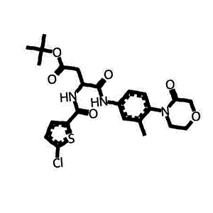 Cc1cc(NC(=O)C(CC(=O)OC(C)(C)C)NC(=O)c2ccc(Cl)s2)ccc1N1CCOCC1=O